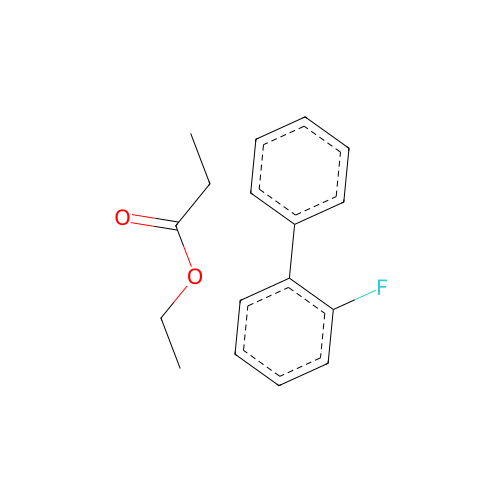 CCOC(=O)CC.Fc1ccccc1-c1ccccc1